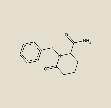 NC(=O)C1CCCC(=O)N1Cc1ccccc1